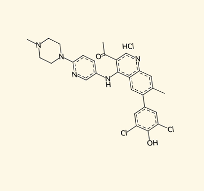 CC(=O)c1cnc2cc(C)c(-c3cc(Cl)c(O)c(Cl)c3)cc2c1Nc1ccc(N2CCN(C)CC2)nc1.Cl